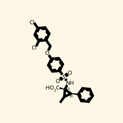 CC1[C@H](c2ccccc2)[C@]1(NS(=O)(=O)c1ccc(OCc2ccc(Cl)cc2Cl)cc1)C(=O)O